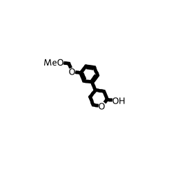 COCOc1cccc(C2CCOC(O)C2)c1